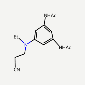 CCN(CCC#N)c1cc(NC(C)=O)cc(NC(C)=O)c1